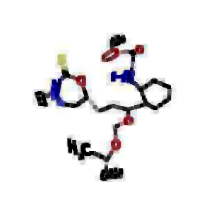 CCN1C[C@@H](CCC(OCOC(C)OC)C2CCCCC2NC(=O)OC(C)(C)C)OC1=S